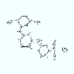 Cc1ccc(O)cc1Nc1ccnc(Nc2cccc(S(C)(=O)=O)c2)n1